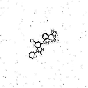 COc1c(Nc2cc(Cl)nc3c2nc(C)n3C2CCCCO2)cccc1-c1ncnn1C